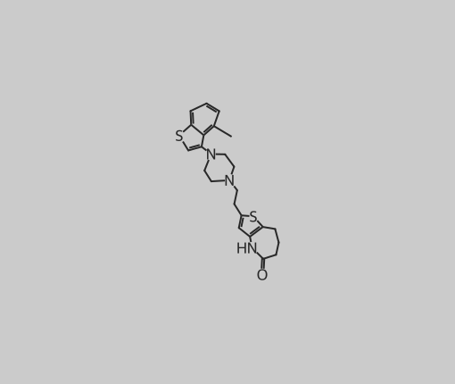 Cc1cccc2scc(N3CCN(CCc4cc5c(s4)CCCC(=O)N5)CC3)c12